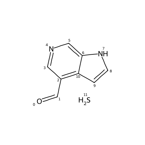 O=Cc1cncc2[nH]ccc12.S